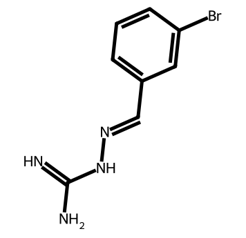 N=C(N)NN=Cc1cccc(Br)c1